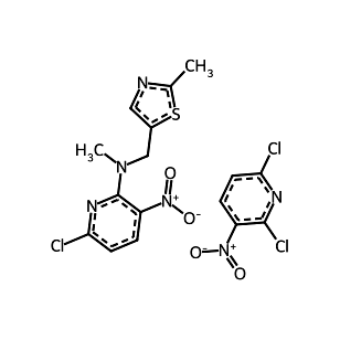 Cc1ncc(CN(C)c2nc(Cl)ccc2[N+](=O)[O-])s1.O=[N+]([O-])c1ccc(Cl)nc1Cl